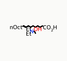 CCCCCCCCC=CCCCCCCCC(=O)O.CCN(CC)C(C)O